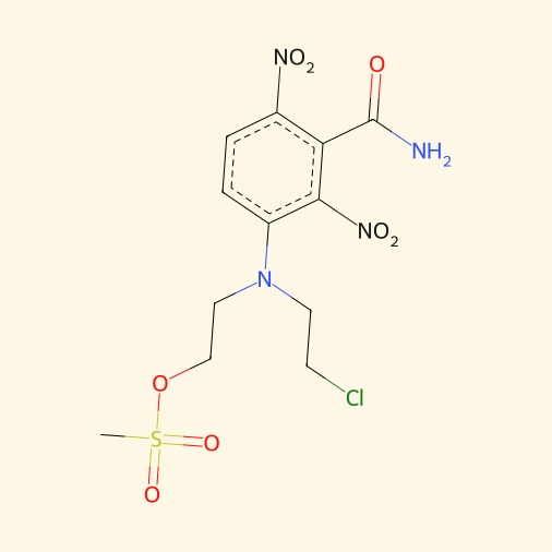 CS(=O)(=O)OCCN(CCCl)c1ccc([N+](=O)[O-])c(C(N)=O)c1[N+](=O)[O-]